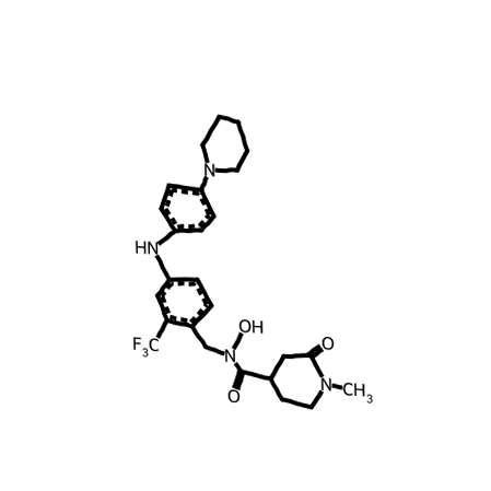 CN1CCC(C(=O)N(O)Cc2ccc(Nc3ccc(N4CCCCC4)cc3)cc2C(F)(F)F)CC1=O